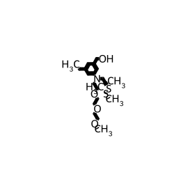 CCc1cc(CO)cc(N(CCOCCOCCOC)CC(C)(C)SSC)c1